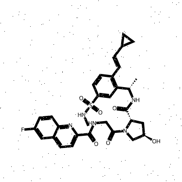 CNS(=O)(=O)c1ccc(/C=C/C2CC2)c([C@H](C)NC(=O)[C@@H]2C[C@@H](O)CN2C(=O)CNC(=O)c2ccc3cc(F)ccc3n2)c1